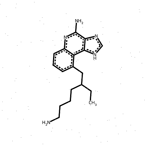 CCC(CCCCN)Cc1cccc2nc(N)c3nc[nH]c3c12